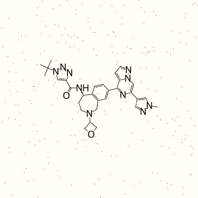 Cn1cc(-c2cn3nccc3c(-c3ccc4c(c3)CN(C3COC3)CC[C@H]4NC(=O)c3cn(C(C)(C)C)nn3)n2)cn1